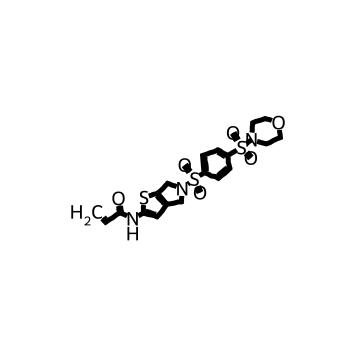 C=CC(=O)Nc1cc2c(s1)CN(S(=O)(=O)c1ccc(S(=O)(=O)N3CCOCC3)cc1)C2